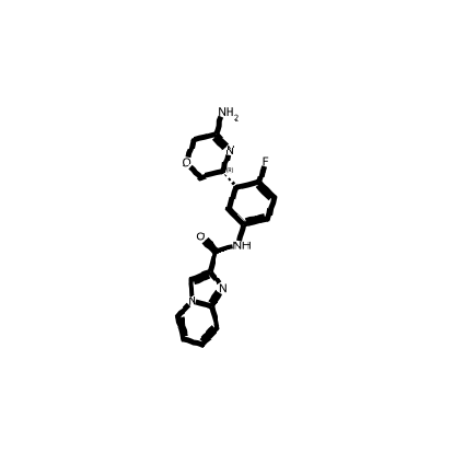 NC1=N[C@H](C2CC(NC(=O)c3cn4ccccc4n3)=CC=C2F)COC1